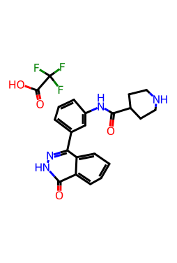 O=C(Nc1cccc(-c2n[nH]c(=O)c3ccccc23)c1)C1CCNCC1.O=C(O)C(F)(F)F